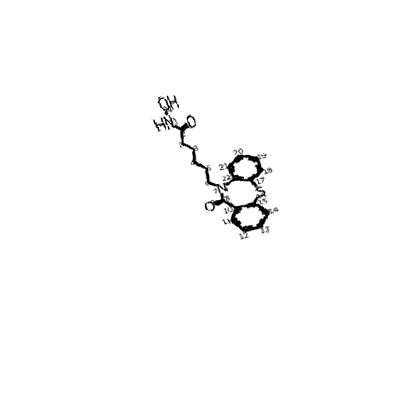 O=C(CCCCCN1C(=O)c2ccccc2Sc2ccccc21)NO